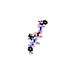 CCCC(NC(=O)[C@@H]1[C@@H]2[C@H](CN1C(=O)[C@@H](NC(=O)Nc1ccc(C#N)cc1)C(C)(C)C)C2(C)C)C(=O)C(=O)NCC(=O)N[C@H](C(=O)N(C)C)c1ccccc1